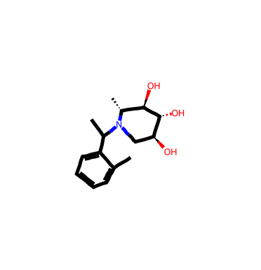 Cc1ccccc1C(C)N1C[C@H](O)[C@@H](O)[C@H](O)[C@H]1C